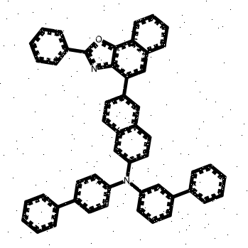 c1ccc(-c2ccc(N(c3cccc(-c4ccccc4)c3)c3ccc4cc(-c5cc6ccccc6c6oc(-c7ccccc7)nc56)ccc4c3)cc2)cc1